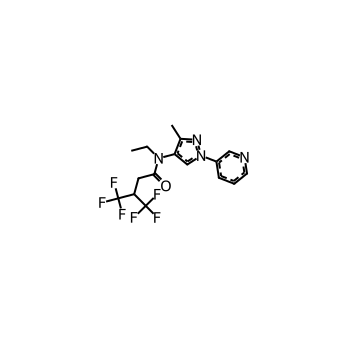 CCN(C(=O)CC(C(F)(F)F)C(F)(F)F)c1cn(-c2cccnc2)nc1C